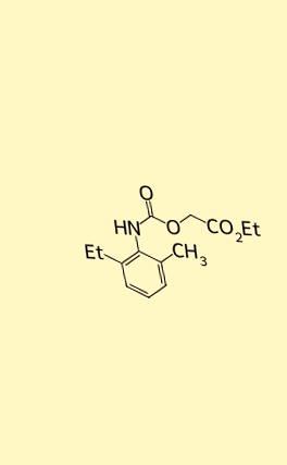 CCOC(=O)COC(=O)Nc1c(C)cccc1CC